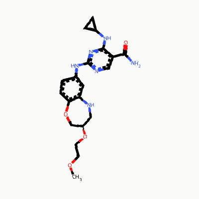 COCCO[C@@H]1CNc2cc(Nc3ncc(C(N)=O)c(NC4CC4)n3)ccc2OC1